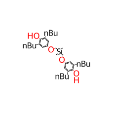 CCCCc1cc(OC[Si](C)(C)COc2cc(CCCC)c(O)c(CCCC)c2)cc(CCCC)c1O